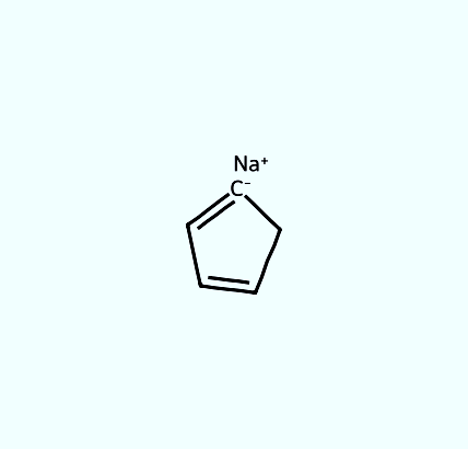 [C-]1=CC=CC1.[Na+]